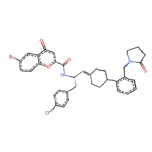 O=C(N[C@H](C=C1CCC(c2ccccc2CN2CCCC2=O)CC1)Cc1ccc(Cl)cc1)c1cc(=O)c2cc(Br)ccc2o1